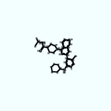 Cc1cnc(NC2CCCCC2)cc1-c1cc2cnccc2c(N2CCC(C(=O)NC(C)C)CC2)n1